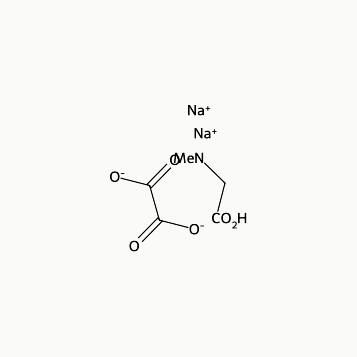 CNCC(=O)O.O=C([O-])C(=O)[O-].[Na+].[Na+]